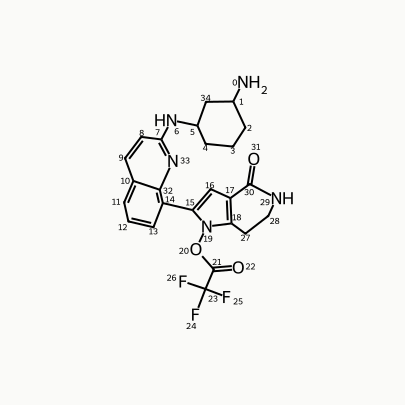 NC1CCCC(Nc2ccc3cccc(-c4cc5c(n4OC(=O)C(F)(F)F)CCNC5=O)c3n2)C1